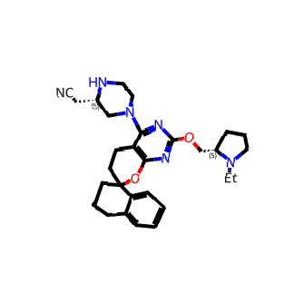 CCN1CCC[C@H]1COc1nc2c(c(N3CCN[C@@H](CC#N)C3)n1)CCC1(CCCc3ccccc31)O2